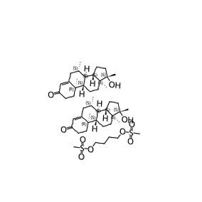 CS(=O)(=O)OCCCCOS(C)(=O)=O.C[C@H]1CC2=CC(=O)CC[C@]2(C)[C@H]2CC[C@@]3(C)[C@@H](CC[C@]3(C)O)[C@H]12.C[C@H]1CC2=CC(=O)CC[C@]2(C)[C@H]2CC[C@@]3(C)[C@@H](CC[C@]3(C)O)[C@H]12